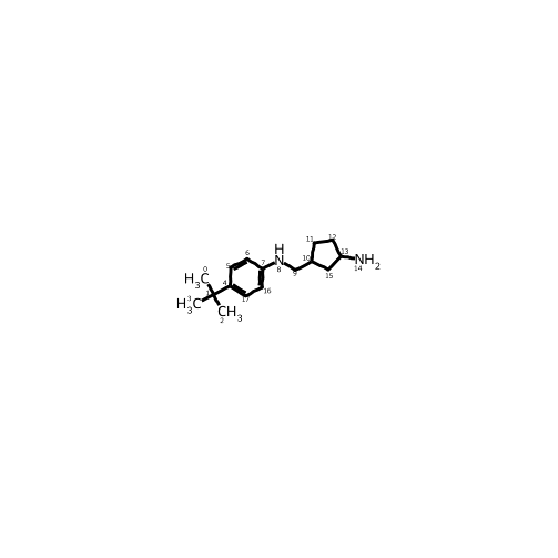 CC(C)(C)c1ccc(NCC2CCC(N)C2)cc1